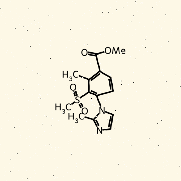 COC(=O)c1ccc(-n2ccnc2C)c(S(C)(=O)=O)c1C